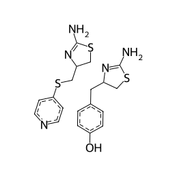 NC1=NC(CSc2ccncc2)CS1.NC1=NC(Cc2ccc(O)cc2)CS1